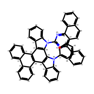 c1ccc(-c2nc(-n3c4ccccc4c4c5c6ccccc6c6ccccc6c5c5c6ccccc6n(-c6ccccc6)c5c43)nc3c2ccc2ccccc23)cc1